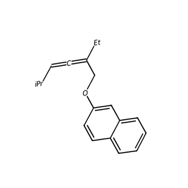 CCC(=C=CC(C)C)COc1ccc2ccccc2c1